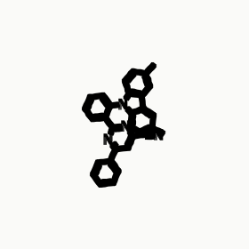 Cc1ccc2c(c1)c1cc(C)ccc1n2-c1ccccc1-c1nc(C#N)cc(-c2ccccc2)n1